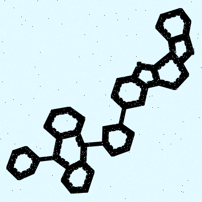 c1ccc(-c2c3ccccc3c(-c3cccc(-c4ccc5sc6c(ccc7sc8ccccc8c76)c5c4)c3)c3ccccc23)cc1